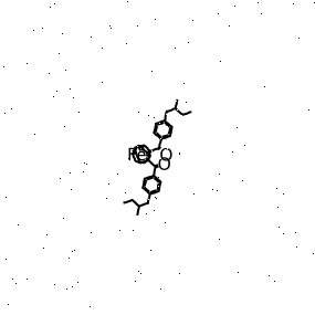 CCC(C)Cc1ccc(C(=O)[C]23[CH]4[CH]5[CH]6[C]2(C(=O)c2ccc(CC(C)CC)cc2)[Fe]54632789[CH]3[CH]2[CH]7[CH]8[CH]39)cc1